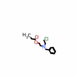 CCC(=O)OCCN(CCCl)Cc1ccccc1